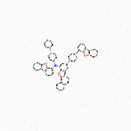 c1ccc(-c2ccc(N(c3cccc4c3oc3ccccc34)c3cc(-c4ccc(-c5cccc6c5oc5ccccc56)cc4)cc4c3oc3c5ccccc5ccc43)cc2)cc1